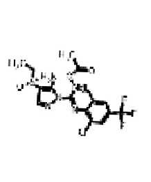 CC[S+]([O-])c1cnn(C(=Nc2c(Cl)cc(C(F)(F)F)cc2Cl)NOC(C)=O)c1N